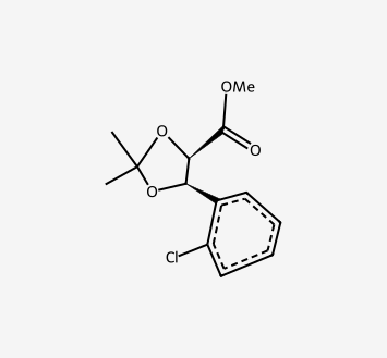 COC(=O)[C@@H]1OC(C)(C)O[C@@H]1c1ccccc1Cl